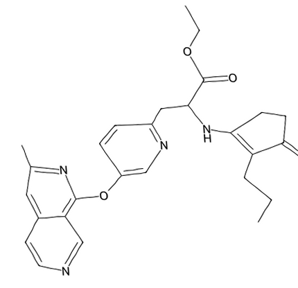 CCCC1=C(NC(Cc2ccc(Oc3nc(C)cc4ccncc34)cn2)C(=O)OCC)CCC1=O